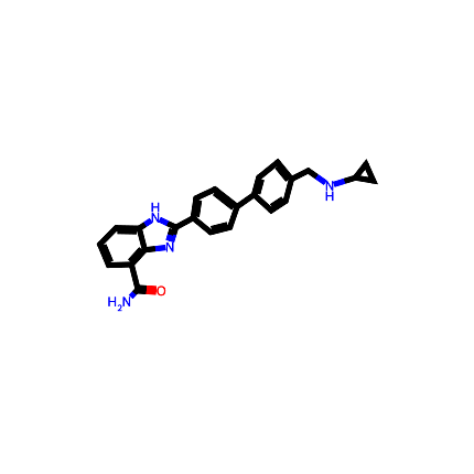 NC(=O)c1cccc2[nH]c(-c3ccc(-c4ccc(CNC5CC5)cc4)cc3)nc12